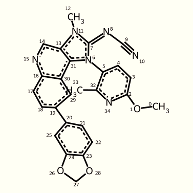 COc1ccc(-n2/c(=N\C#N)n(C)c3cnc4ccc(-c5ccc6c(c5)OCO6)cc4c32)c(C)n1